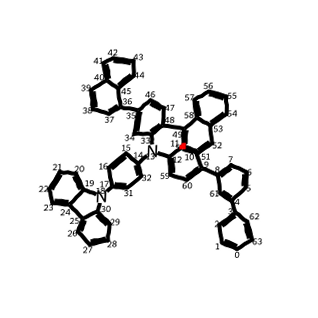 c1ccc(-c2cccc(-c3ccc(N(c4ccc(-n5c6ccccc6c6ccccc65)cc4)c4cc(-c5cccc6ccccc56)ccc4-c4cccc5ccccc45)cc3)c2)cc1